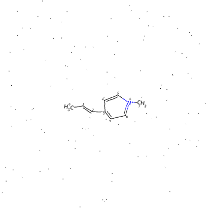 CC=Cc1cc[n+](C)cc1